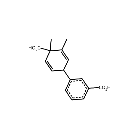 CC1=CC(c2cccc(C(=O)O)c2)C=CC1(C)C(=O)O